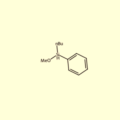 CCCC[SiH](OC)c1ccccc1